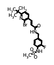 CC(C)(C)c1ccc(C=CC(=O)NCc2ccc(NS(C)(=O)=O)c(F)c2)c(Br)n1